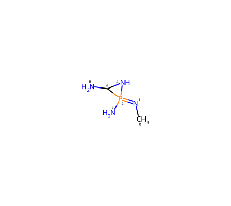 CN=P1(N)NC1N